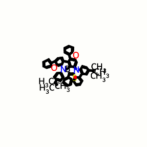 CC(C)(C)c1ccc(N2B3c4c(cc5oc6ccccc6c5c4-c4ccc5c(oc6ccccc65)c42)N(c2ccc(C(C)(C)C)cc2-c2ccccc2)c2sc4ccccc4c23)cc1